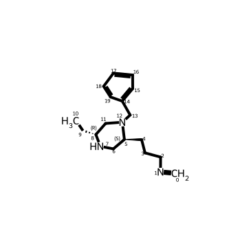 C=NCCC[C@H]1CN[C@H](CC)CN1Cc1ccccc1